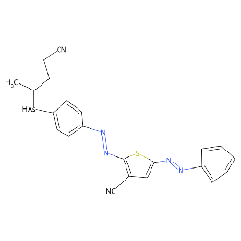 CC(CCC#N)[AsH]c1ccc(N=Nc2sc(N=Nc3ccccc3)cc2C#N)cc1